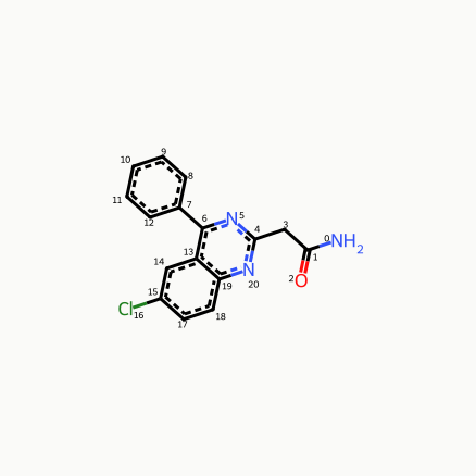 NC(=O)Cc1nc(-c2ccccc2)c2cc(Cl)ccc2n1